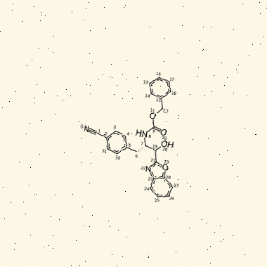 N#Cc1ccc(C[C@H](NC(=O)OCc2ccccc2)C(O)c2nc3ccccc3o2)cc1